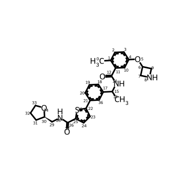 Cc1ccc(OC2CNC2)cc1C(=O)NC(C)c1cccc(-c2ccc(C(=O)NC[C@H]3CCCO3)s2)c1